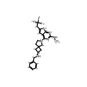 CNc1nc(N2CCC3(CC(NCc4ccccc4)C3)C2)c2cc(CC(F)(F)F)sc2n1